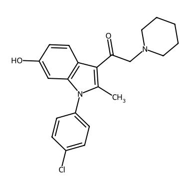 Cc1c(C(=O)CN2CCCCC2)c2ccc(O)cc2n1-c1ccc(Cl)cc1